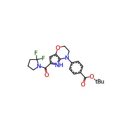 CC(C)(C)OC(=O)c1ccc(N2CCOc3cc(C(=O)N4CCCC4(F)F)[nH]c32)cc1